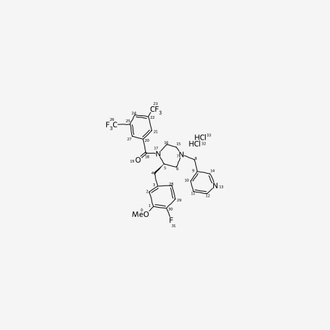 COc1cc(C[C@@H]2CN(Cc3cccnc3)CCN2C(=O)c2cc(C(F)(F)F)cc(C(F)(F)F)c2)ccc1F.Cl.Cl